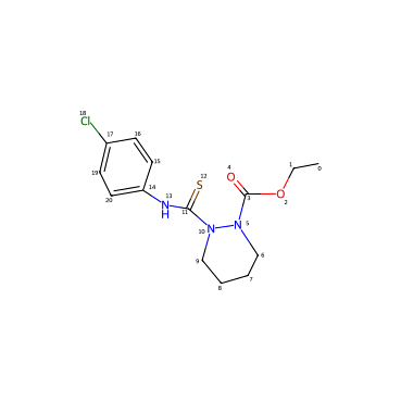 CCOC(=O)N1CCCCN1C(=S)Nc1ccc(Cl)cc1